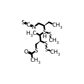 CC[C@H](CN=C=S)[SH](SC)C(C)[C@H](CSC(C)=O)SSC